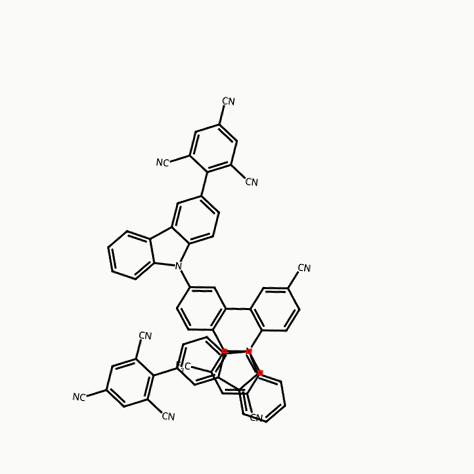 N#Cc1cc(C#N)c(-c2ccc3c(c2)c2ccccc2n3-c2ccc(-c3ccc(C#N)cc3C(F)(F)F)c(-c3cc(C#N)ccc3-n3c4ccccc4c4cc(-c5c(C#N)cc(C#N)cc5C#N)ccc43)c2)c(C#N)c1